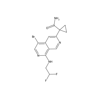 NC(=O)C1(c2cc3c(Br)cnc(NCC(F)F)c3cn2)CC1